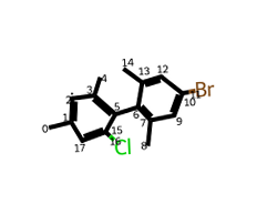 Cc1[c]c(C)c(-c2c(C)cc(Br)cc2C)c(Cl)c1